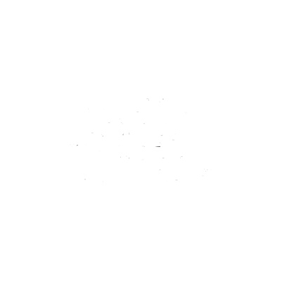 COc1cccc(C(=O)[C@H]2CN(CC(O)CO)C[C@H](C(=O)c3cccc(OC)c3)C2c2cccc(F)c2C)c1